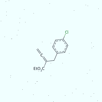 C=C=C(Cc1ccc(Cl)cc1)C(=O)OCC